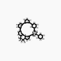 CC1(C)c2ccc3cc2c2cc(ccc2C1(C)C)c1nc(-c2ccccc2)nc(n1)c1cccc(c1)c1cccc(c1)c1cccc3c1